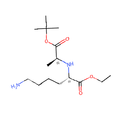 CCOC(=O)[C@H](CCCCN)N[C@@H](C)C(=O)OC(C)(C)C